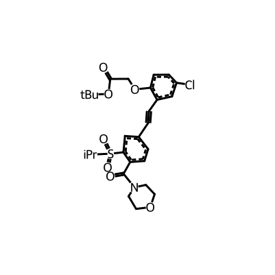 CC(C)S(=O)(=O)c1cc(C#Cc2cc(Cl)ccc2OCC(=O)OC(C)(C)C)ccc1C(=O)N1CCOCC1